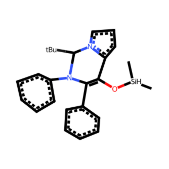 C[SiH](C)OC1=C(c2ccccc2)N(c2ccccc2)C(C(C)(C)C)n2cccc21